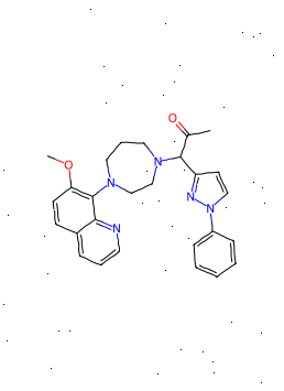 COc1ccc2cccnc2c1N1CCCN(C(C(C)=O)c2ccn(-c3ccccc3)n2)CC1